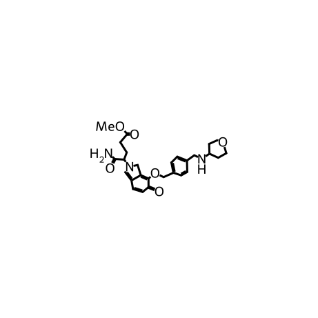 COC(=O)CCC(C(N)=O)N1C=C2C=CC(=O)C(OCc3ccc(CNC4CCOCC4)cc3)=C2C1